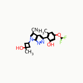 Cc1cc(OC(F)F)cc(O)c1-c1cc2c(C#N)cn(C3CC(C)(O)C3)c2nn1